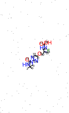 CC1(C)CN(c2ncc(OC/C(=C/F)CNC(=O)O)cn2)C(=O)N1